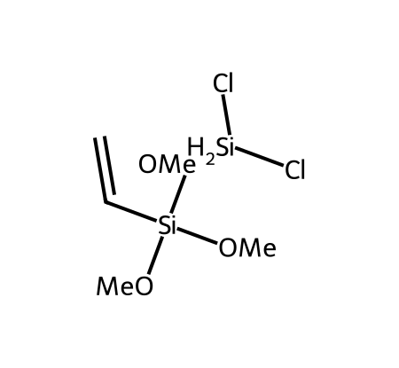 C=C[Si](OC)(OC)OC.Cl[SiH2]Cl